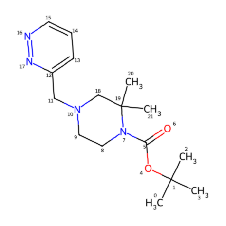 CC(C)(C)OC(=O)N1CCN(Cc2cccnn2)CC1(C)C